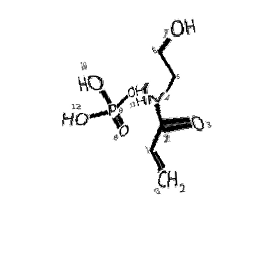 C=CC(=O)NCCO.O=P(O)(O)O